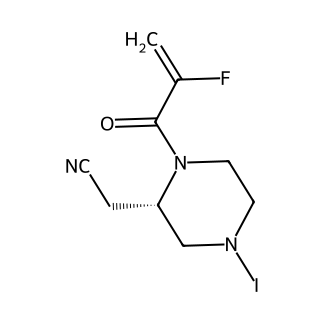 C=C(F)C(=O)N1CCN(I)C[C@@H]1CC#N